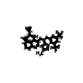 Cn1nnc(N(Cc2cc(C(F)(F)F)cc(C(F)(F)F)c2)Cc2cnc3ccccc3c2NC(C2CC2)C2CC2)n1